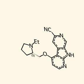 CCN1CCC[C@H]1COc1ccnc2[nH]c3cnc(C#N)cc3c12